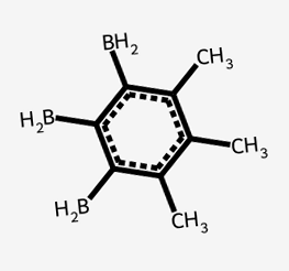 Bc1c(B)c(C)c(C)c(C)c1B